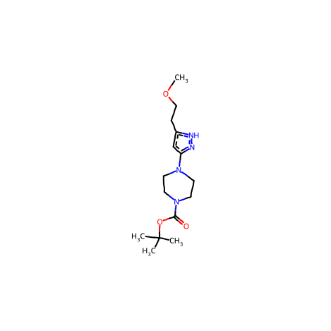 COCCc1cc(N2CCN(C(=O)OC(C)(C)C)CC2)n[nH]1